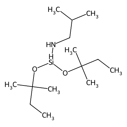 CCC(C)(C)O[SiH](NCC(C)C)OC(C)(C)CC